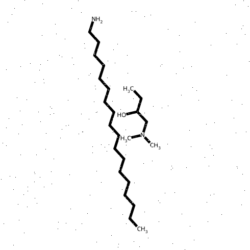 CCC(O)CN(C)C.CCCCCCCCCCCCCCCCCCN